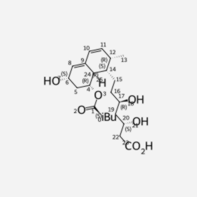 CC[C@H](C)C(=O)O[C@@H]1C[C@H](O)C=C2C=C[C@H](C)[C@H](CC[C@@H](O)C[C@H](O)CC(=O)O)[C@H]21